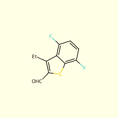 CCc1c(C=O)sc2c(F)ccc(F)c12